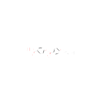 CCCOc1ccc(C(=O)Oc2ccc(C(=O)O)cc2)cc1